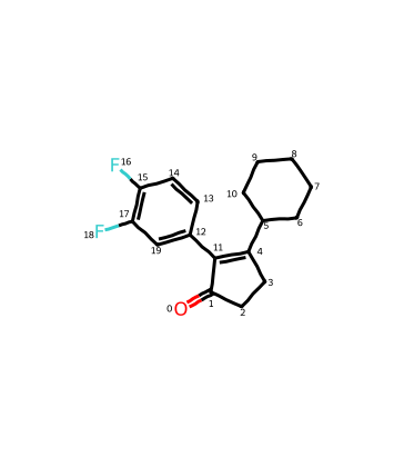 O=C1CCC(C2CCCCC2)=C1c1ccc(F)c(F)c1